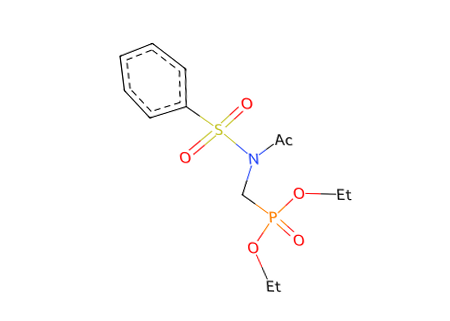 CCOP(=O)(CN(C(C)=O)S(=O)(=O)c1ccccc1)OCC